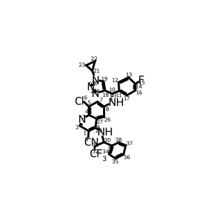 N#Cc1cnc2c(Cl)cc(N[C@@H](c3ccc(F)cc3)c3cn(C4CC4)nn3)cc2c1NC(CC(F)(F)F)c1ccccc1